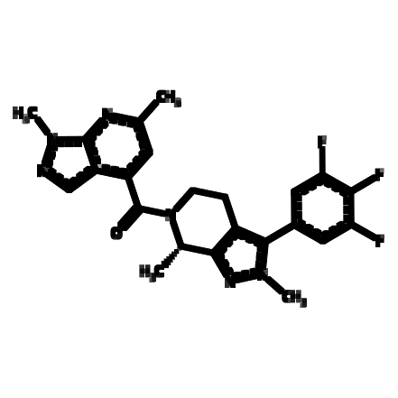 Cc1cc(C(=O)N2CCc3c(nn(C)c3-c3cc(F)c(F)c(F)c3)[C@@H]2C)c2cnn(C)c2n1